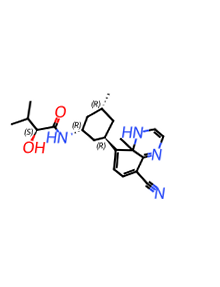 CC(C)[C@H](O)C(=O)N[C@@H]1C[C@H](C)C[C@@H](C2=CC=C(C#N)C3=NC=CNC23C)C1